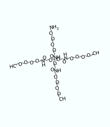 C#CCOCCOCCOCCOCCNC(=O)CCOCC(COCCC(=O)NCCOCCOCCOCCOCC#C)(COCCC(=O)NCCOCCOCCOCCOCC#C)NC(=O)CCOCCOCCOCCOCCN